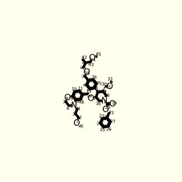 COCCCN1CCOc2ccc(CO[C@H]3CN(C(=O)OCc4ccccc4)C[C@@H](COC)[C@@H]3c3ccc(COCC(C)COC)cc3)cc21